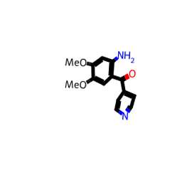 COc1cc(N)c(C(=O)c2ccncc2)cc1OC